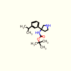 CC(C)c1cccc(C2(NC(=O)OC(C)(C)C)CCNC2)c1